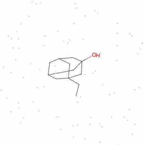 CCC12CC3CC(CC(O)(C3)C1)C2